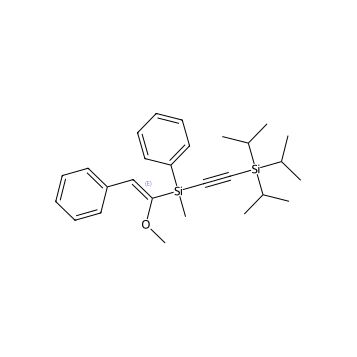 CO/C(=C\c1ccccc1)[Si](C)(C#C[Si](C(C)C)(C(C)C)C(C)C)c1ccccc1